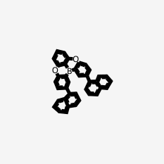 c1cc2c3c(c1)Oc1ccc(-c4cccc5ccccc45)cc1B3c1cc(-c3cccc4ccccc34)ccc1O2